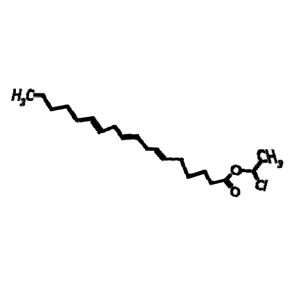 CCCCCC=CCC=CCC=CCCCCC(=O)OC(C)Cl